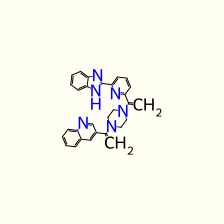 C=C(c1cnc2ccccc2c1)N1CCN(C(=C)c2cccc(-c3nc4ccccc4[nH]3)n2)CC1